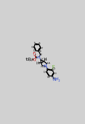 CC(C)(C)OC(=O)N(Cc1ccccc1)[C@H]1[C@@H]2CN(c3ccc(N)cc3F)C[C@@H]21